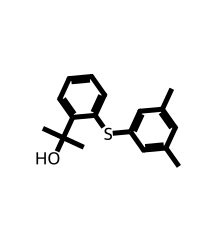 Cc1cc(C)cc(Sc2ccccc2C(C)(C)O)c1